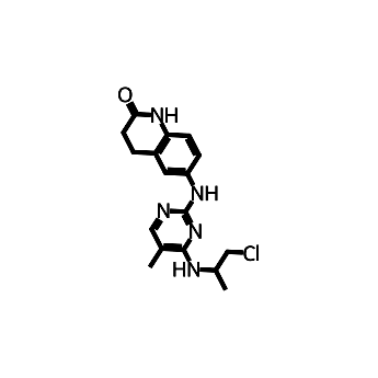 Cc1cnc(Nc2ccc3c(c2)CCC(=O)N3)nc1NC(C)CCl